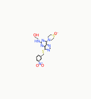 O=[N+]([O-])c1cccc(CSc2ncnc3c(N4CC[S+]([O-])CC4)nc(NCCO)nc23)c1